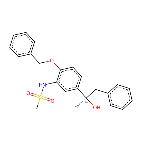 [CH2][C@@](O)(Cc1ccccc1)c1ccc(OCc2ccccc2)c(NS(C)(=O)=O)c1